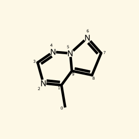 Cc1ncnn2nccc12